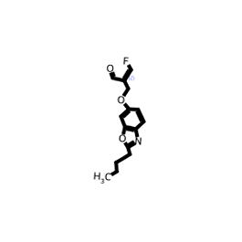 CCCCc1nc2ccc(OC/C(C=O)=C/F)cc2o1